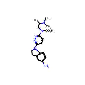 CN(C)C(CN(C(=O)O)c1ccc(N2CCc3cc(N)ccc32)nn1)C(C)(C)C